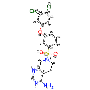 Nc1ncnc2c1CCN(S(=O)(=O)c1cccc(Oc3ccc(Cl)c(Cl)c3)c1)C2